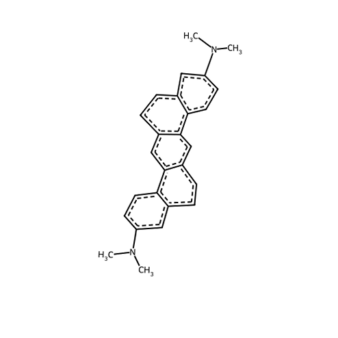 CN(C)c1ccc2c(ccc3cc4c(ccc5cc(N(C)C)ccc54)cc32)c1